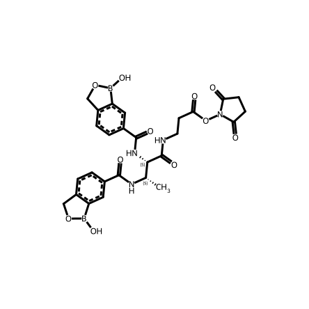 C[C@H](NC(=O)c1ccc2c(c1)B(O)OC2)[C@H](NC(=O)c1ccc2c(c1)B(O)OC2)C(=O)NCCC(=O)ON1C(=O)CCC1=O